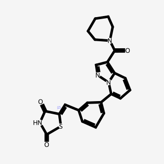 O=C1NC(=O)/C(=C/c2cccc(-c3cccc4c(C(=O)N5CCCCC5)cnn34)c2)S1